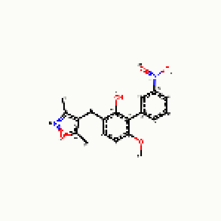 COc1ccc(Cc2c(C)noc2C)c(O)c1-c1cccc([N+](=O)[O-])c1